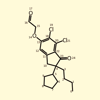 CCCCC1(C2CCCC2)Cc2cc(OCC=O)c(Cl)c(Cl)c2C1=O